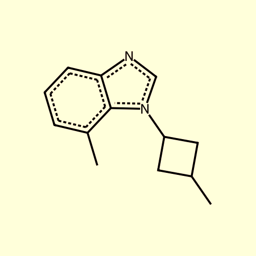 Cc1cccc2ncn(C3CC(C)C3)c12